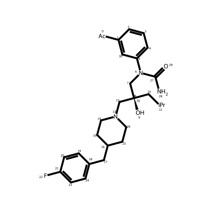 CC(=O)c1cccc(N(C[C@](O)(CC(C)C)CN2CCC(Cc3ccc(F)cc3)CC2)C(N)=O)c1